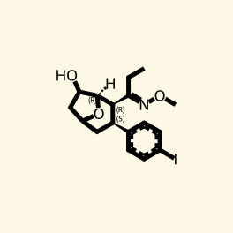 CCC(=NOC)[C@H]1[C@@H](c2ccc(I)cc2)CC2CC(O)[C@@H]1O2